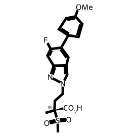 COc1ccc(-c2cc3cn(CC[C@](C)(C(=O)O)S(C)(=O)=O)nc3cc2F)cc1